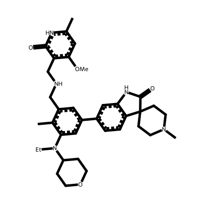 CCN(c1cc(-c2ccc3c(c2)NC(=O)C32CCN(C)CC2)cc(CNCc2c(OC)cc(C)[nH]c2=O)c1C)C1CCOCC1